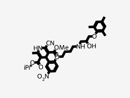 COC(=O)C1=C(C#N)NC(C)=C(C(=O)OC(C)C)C1c1cc([N+](=O)[O-])ccc1OCCCCNCC(O)COc1c(C)cc(C)cc1C